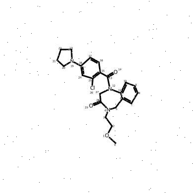 COCCN1Cc2ccccc2N(C(=O)c2ccc(N3CCCC3)cc2Cl)CC1=O